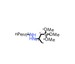 CCCCCNNC(C)C[Si](OC)(OC)OC